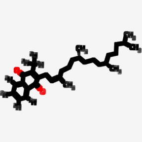 [2H]c1c([2H])c([2H])c2c(c1[2H])C(=O)C(CC=C(C)CCC[C@H](C)CCC[C@H](C)CCCC(C)C)=C(C([2H])([2H])[2H])C2=O